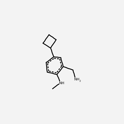 CNc1ccc(C2CCC2)cc1CN